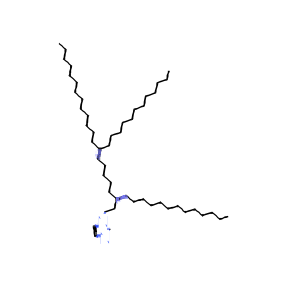 CCCCCCCCCCCC/C=C(/CCCC/C=C(\CCCCCCCCCCCC)CCCCCCCCCCCCC)CCn1ccnc1